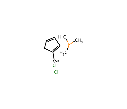 CP(C)C.[Cl-].[Cl-].[V+2][C]1=CC=CC1